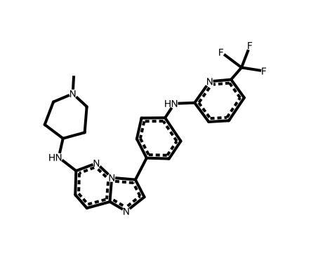 CN1CCC(Nc2ccc3ncc(-c4ccc(Nc5cccc(C(F)(F)F)n5)cc4)n3n2)CC1